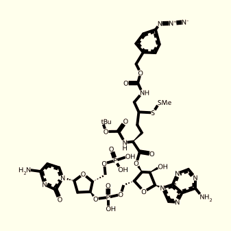 CSSC(CC[C@H](NC(=O)OC(C)(C)C)C(=O)O[C@H]1[C@@H](O)[C@H](n2cnc3c(N)ncnc32)O[C@@H]1COP(=O)(O)O[C@H]1C[C@H](n2ccc(N)nc2=O)O[C@@H]1COP(=O)(O)O)CNC(=O)OCc1ccc(N=[N+]=[N-])cc1